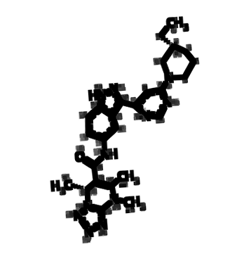 CC[C@@H]1CCCN(c2cc(-c3n[nH]c4ccc(NC(=O)C5=C(C)N(C)c6nnnn6[C@@H]5C)cc34)ncn2)C1